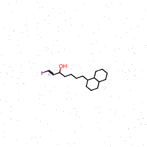 OC(/C=C/I)CCCCC1CCCC2CCCCC12